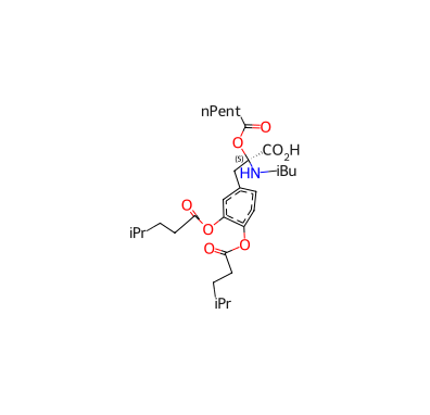 CCCCCC(=O)O[C@](Cc1ccc(OC(=O)CCC(C)C)c(OC(=O)CCC(C)C)c1)(NC(C)CC)C(=O)O